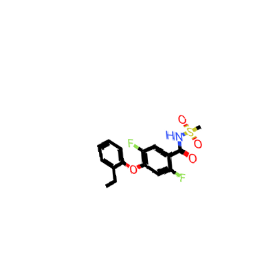 CCc1ccccc1Oc1cc(F)c(C(=O)NS(C)(=O)=O)cc1F